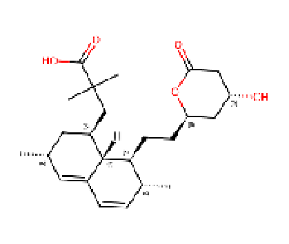 C[C@@H]1C=CC2=C[C@H](C)C[C@@H](CC(C)(C)C(=O)O)[C@@H]2[C@H]1CC[C@@H]1C[C@@H](O)CC(=O)O1